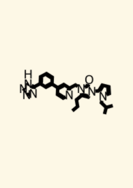 CCCc1cn(-c2cccn2CC(C)C)c(=O)n1Cc1cc(-c2cccc(-c3nnn[nH]3)c2)ccn1